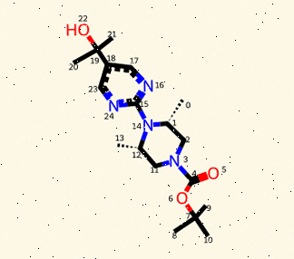 C[C@@H]1CN(C(=O)OC(C)(C)C)C[C@H](C)N1c1ncc(C(C)(C)O)cn1